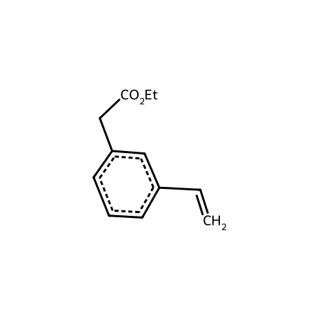 C=Cc1cccc(CC(=O)OCC)c1